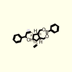 C=C[C@@H]1C[C@H](/C=C\C(O)c2ccccc2)[C@H]2COB(c3ccccc3)OC[C@H]21